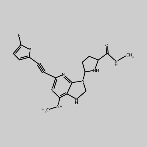 CNC(=O)C1CCC(N2CNc3c(NC)nc(C#Cc4ccc(F)s4)nc32)N1